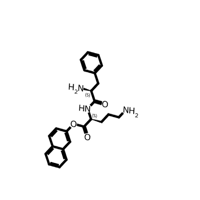 NCCC[C@H](NC(=O)[C@@H](N)Cc1ccccc1)C(=O)Oc1ccc2ccccc2c1